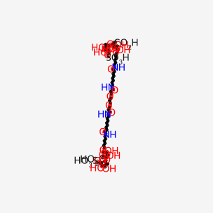 CC1C(OC(CC(=O)O)C(O)C(O)C(O)OCCCCCCNC(=O)CCCCCCCNC(=O)CCOCCCOCCC(=O)NCCCCCCCC(=O)NCCCCCCOC2OC(C(=O)O)C(OC3OC(COS(=O)(=O)O)C(O)C(O)C3C)C(O)C2O)OC(COS(=O)(=O)O)C(O)C1O